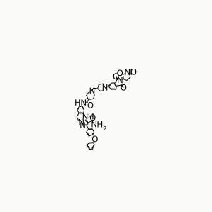 NC(=O)c1c(-c2ccc(Oc3ccccc3)cc2)nn2c1Nc1cc(NC(=O)C3CCN(CC4CCN(c5ccc6c(c5)C(=O)N(C5CCC(=O)NC5=O)C6=O)CC4)CC3)ccc1CC2